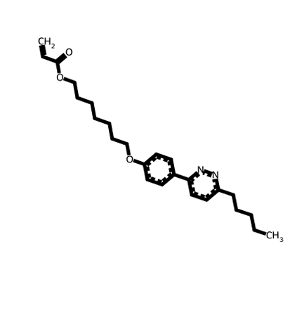 C=CC(=O)OCCCCCCCOc1ccc(-c2ccc(CCCCC)nn2)cc1